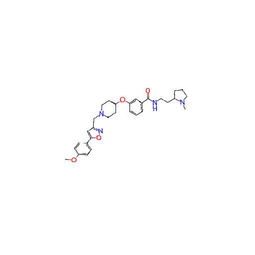 COc1ccc(-c2cc(CN3CCC(Oc4cccc(C(=O)NCCC5CCCN5C)c4)CC3)no2)cc1